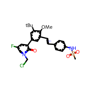 COc1c(/C=C/c2ccc(NS(C)(=O)=O)cc2)cc(-c2cc(F)cn(CCl)c2=O)cc1C(C)(C)C